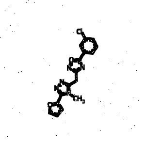 Cn1c(Cc2noc(-c3cccc(Cl)c3)n2)nnc1-c1ccco1